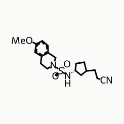 COc1ccc2c(c1)CCN(S(=O)(=O)N[C@@H]1CCC(CCC#N)C1)C2